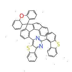 C1=CC2Oc3ccccc3C3(c4cccc(-c5nc(-c6cccc7sc8ccccc8c67)nc6c5sc5ccccc56)c4-c4c3ccc3ccccc43)C2C=C1